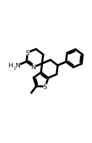 Cc1cc2c(s1)CC(c1ccccc1)CC21CCSC(N)=N1